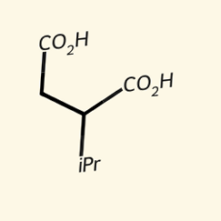 CC(C)C(CC(=O)O)C(=O)O